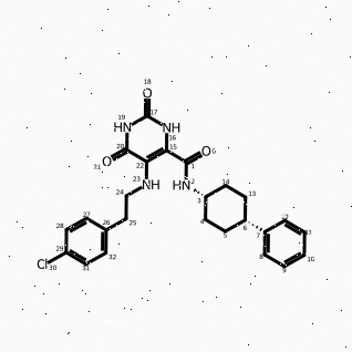 O=C(N[C@H]1CC[C@@H](c2ccccc2)CC1)c1[nH]c(=O)[nH]c(=O)c1NCCc1ccc(Cl)cc1